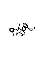 CC1(C)Oc2cc3c(CO)ccnc3cc2C(NCCc2ccccc2)C1O